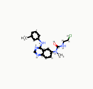 Cc1cccc(Nc2ncnc3ccc(N(C)C(=O)NCCCl)cc23)c1